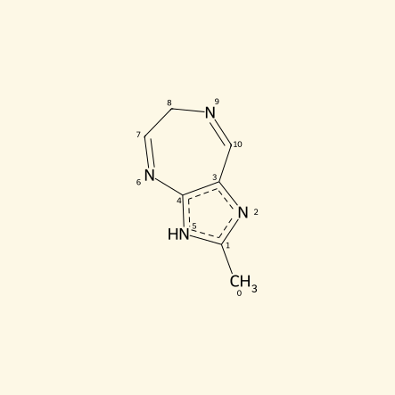 Cc1nc2c([nH]1)N=CCN=C2